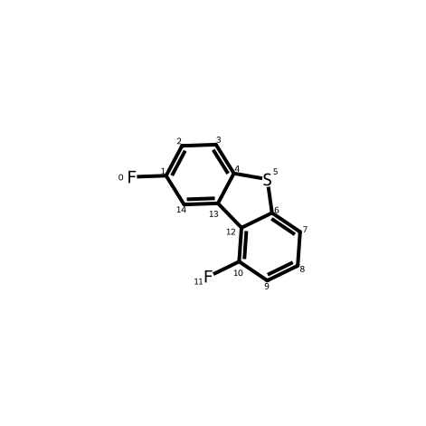 Fc1ccc2sc3cccc(F)c3c2c1